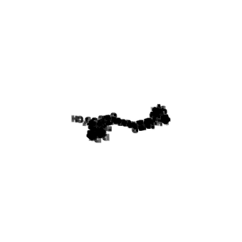 CC(=O)c1c(C)c2cnc(Nc3ccc(N4CCN(C(=O)CCOCCOCCC(=O)N5CCN(S(=O)(=O)CC(N6C(=O)[C@@](C)(CC(=O)O)C[C@H](c7cccc(Cl)c7)[C@H]6c6ccc(Cl)cc6)C(C)(C)C)CC5)CC4)cn3)nc2n(C2CCCC2)c1=O